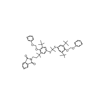 CC(C)(Sc1cc(C(C)(C)C)c(OCOc2ccccc2)c(C(C)(C)C)c1)Sc1cc(C(C)(C)C)c(OCOc2ccccc2)c(C(C)(C)CCN2C(=O)c3ccccc3C2=O)c1